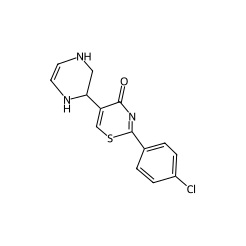 O=c1nc(-c2ccc(Cl)cc2)scc1C1CNC=CN1